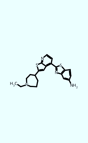 CCN1CCCC(c2cc3c(-c4nc5cc(N)ccc5s4)ccnc3s2)CC1